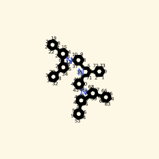 c1ccc(-c2cc(-c3cccc(-n4c5ccc(-c6ccccc6)cc5c5cc(-c6ccccc6)ccc54)c3)nc(-c3cccc(-n4c5ccc(-c6ccccc6)cc5c5cc(-c6ccccc6)ccc54)c3)c2)cc1